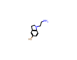 NCCN1CCc2cc(S)ccc21